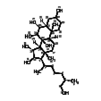 C[C@H](CO)CCC[C@@H](C)[C@H]1[C@@H](O)[C@H](O)[C@@H]2[C@]1(C)CC[C@@H]1[C@@]3(C)CC[C@H](O)C[C@@H]3[C@@H](O)[C@H](O)[C@]12O